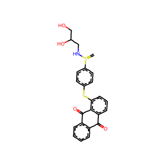 C=S(NCC(O)CO)c1ccc(Sc2cccc3c2C(=O)c2ccccc2C3=O)cc1